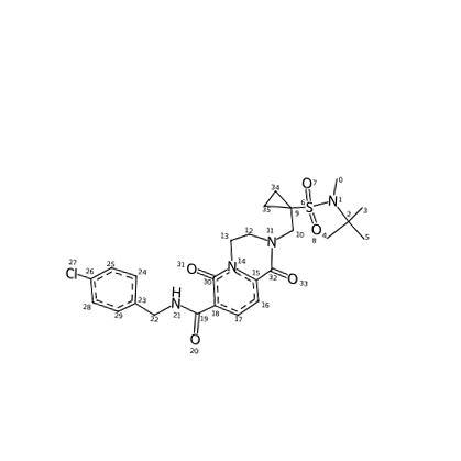 CN(C(C)(C)C)S(=O)(=O)C1(CN2CCn3c(ccc(C(=O)NCc4ccc(Cl)cc4)c3=O)C2=O)CC1